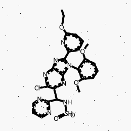 CCOc1cccc(-c2nc3nc(Cl)c(C(N[SH](=O)=O)c4ncccn4)nc3n2-c2c(OC)cccc2OC)n1